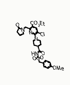 CCOC(=O)c1cc(Cl)c(N2CCC(C(=O)NS(=O)(=O)Cc3ccc(OC)cc3)CC2)nc1CN1CCCC1=O